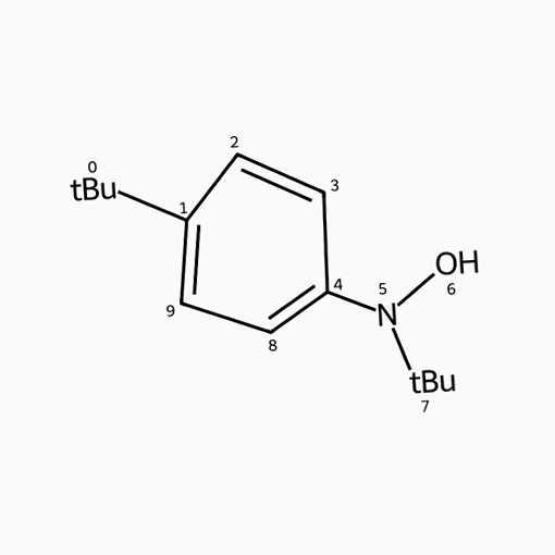 CC(C)(C)c1ccc(N(O)C(C)(C)C)cc1